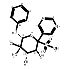 O=S(=O)(O)C1(c2cncnc2)O[C@@H](Oc2ccccc2)[C@@](O)(Cl)[C@@H](O)[C@@H]1O